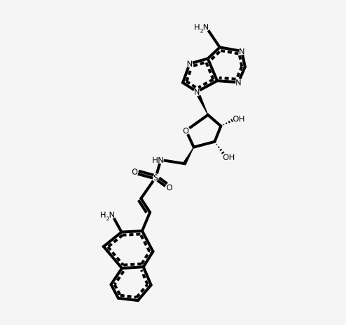 Nc1cc2ccccc2cc1/C=C/S(=O)(=O)NC[C@H]1O[C@@H](n2cnc3c(N)ncnc32)[C@H](O)[C@@H]1O